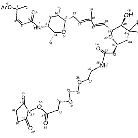 CC(=O)OC(C)/C=C\C(=O)N[C@@H]1C[C@H](C)[C@H](C/C=C(C)/C=C/[C@H]2O[C@H](CC(=O)NCCOCCOCCC(=O)ON3C(=O)CCC3=O)C[C@@]3(CO3)[C@@H]2O)O[C@@H]1C